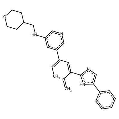 C=N/C(=C\C(=C/C)c1cncc(NCC2CCOCC2)c1)c1ncc(-c2ccccc2)[nH]1